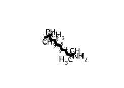 CCC(C)(P)CCCCCCCC(C)(C)N